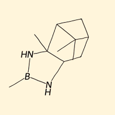 CB1NC2CC3CC(C3(C)C)C2(C)N1